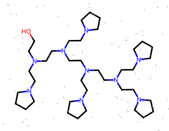 OCCN(CCN1CCCC1)CCN(CCN1CCCC1)CCN(CCN1CCCC1)CCN(CCN1CCCC1)CCN1CCCC1